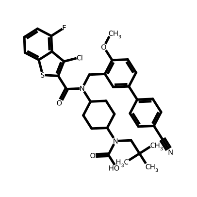 COc1ccc(-c2ccc(C#N)cc2)cc1CN(C(=O)c1sc2cccc(F)c2c1Cl)C1CCC(N(CC(C)(C)C)C(=O)O)CC1